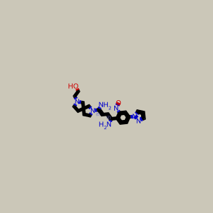 N/C(=C\C=C(/N)N1CCC2(CCN(CCO)C2)C1)c1ccc(-n2cccn2)cc1N=O